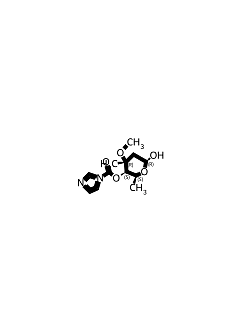 CO[C@]1(C)C[C@H](O)O[C@@H](C)[C@@H]1OC(=O)n1ccnc1